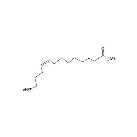 CCCCCCCCCCCC/C=C\CCCCCCCC(=O)OC